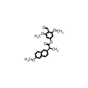 COc1ccc2cc(C(C)C(=O)Oc3cc(OC)c(C=O)c(OC)c3)ccc2c1